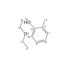 CCOCC.Cc1ccccc1O